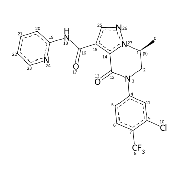 C[C@H]1CN(c2ccc(C(F)(F)F)c(Cl)c2)C(=O)c2c(C(=O)Nc3ccccn3)cnn21